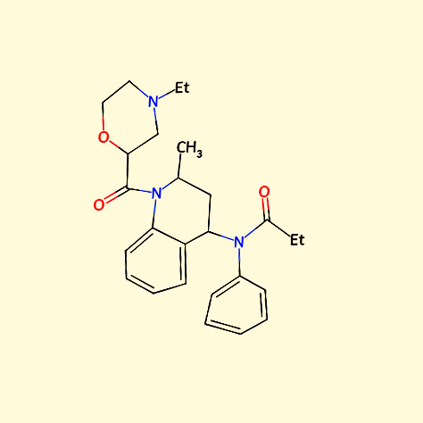 CCC(=O)N(c1ccccc1)C1CC(C)N(C(=O)C2CN(CC)CCO2)c2ccccc21